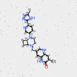 CCc1cc2ncc(CN3CCN(c4ccc(-c5nnc(C)[nH]5)nc4)C4CCC43)cc2[nH]c1=O